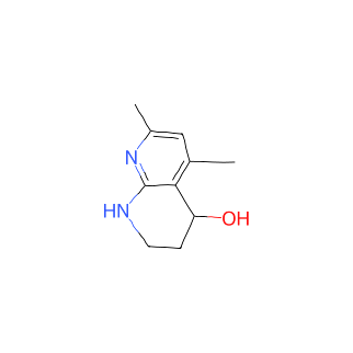 Cc1cc(C)c2c(n1)NCCC2O